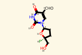 O=Cc1cn([C@H]2CC[C@@](F)(CO)O2)c(=O)[nH]c1=O